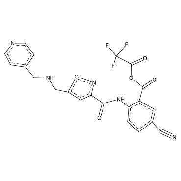 N#Cc1ccc(NC(=O)c2cc(CNCc3ccncc3)on2)c(C(=O)OC(=O)C(F)(F)F)c1